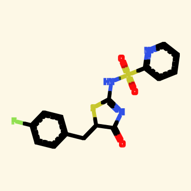 O=C1N=C(NS(=O)(=O)c2ccccn2)SC1Cc1ccc(F)cc1